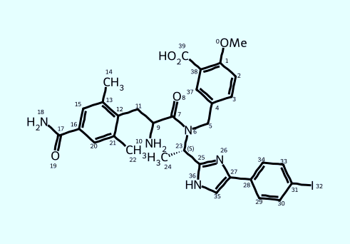 COc1ccc(CN(C(=O)C(N)Cc2c(C)cc(C(N)=O)cc2C)[C@@H](C)c2nc(-c3ccc(I)cc3)c[nH]2)cc1C(=O)O